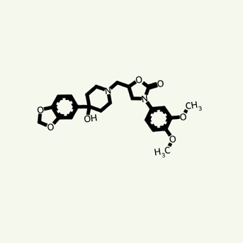 COc1ccc(N2CC(CN3CCC(O)(c4ccc5c(c4)OCO5)CC3)OC2=O)cc1OC